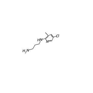 Cc1cc(Cl)cnc1NCCCN